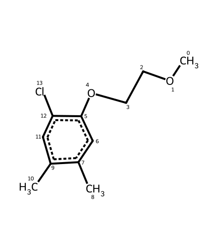 COCCOc1cc(C)c(C)cc1Cl